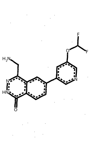 NCc1n[nH]c(=O)c2ccc(-c3cncc(OC(F)F)c3)cc12